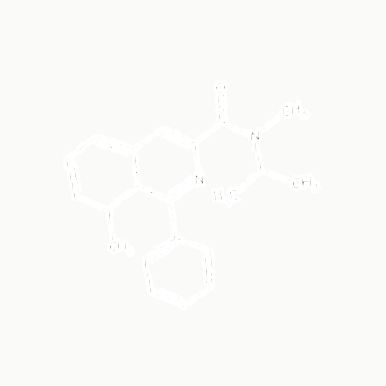 CC1C=CC=C2C=C(C(=O)N(C)C(C)C)N=C(c3ccccc3)C21